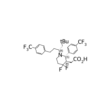 CC(C)(C)C[C@@H](CCc1ccc(C(F)(F)F)cc1)N1CCC(F)(F)[C@H](CC(=O)O)[C@H]1c1ccc(C(F)(F)F)cc1